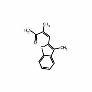 CC(=Cc1oc2ccccc2c1C)C(N)=O